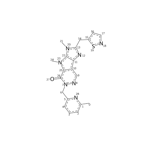 Cc1cccc(Cn2ncc3c4nc(Cc5ccns5)n(C)c4n(C)c3c2=O)n1